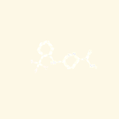 NC(=O)c1ccc(Nc2ccccc2C(F)(F)F)cn1